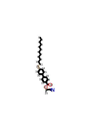 CCCCCCCCCCCCSc1ccc(-c2ccc(C(=O)O[C@H](C)C#N)cc2)cc1